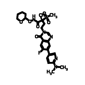 CN(C)c1ccc(-c2cc3ncn(CC[C@](C)(C(=O)NOC4CCCCO4)S(C)(=O)=O)c(=O)c3cc2F)cn1